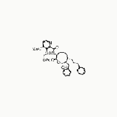 COc1ccnc(C(=O)N[C@H]2CCC[C@H](CCCc3ccccc3)[C@@H](Cc3ccccc3)[C@H](C)OC2=O)c1OCOC(C)=O